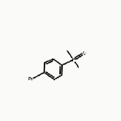 CCc1ccc(P(C)(C)=O)cc1